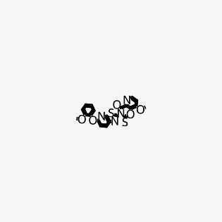 COc1ccccc1Oc1ccc2nc(-n3c(=S)oc4c(OC)ccnc4c3=O)sc2n1